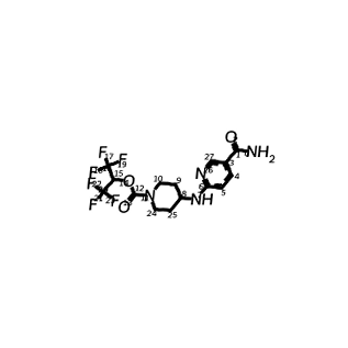 NC(=O)c1ccc(NC2CCN(C(=O)OC(C(F)(F)F)C(F)(F)F)CC2)nc1